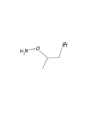 CC(C)CC(C)ON